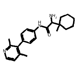 Cc1ccnc(C)c1-c1ccc(NC(=O)C(N)C2(C)CCCCC2)cc1